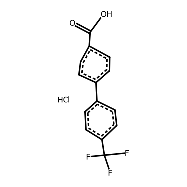 Cl.O=C(O)c1ccc(-c2ccc(C(F)(F)F)cc2)cc1